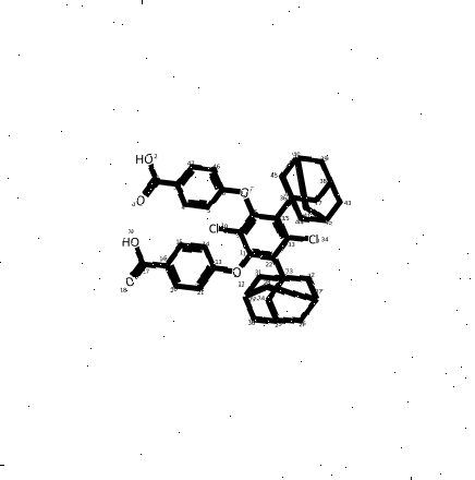 O=C(O)c1ccc(Oc2c(Cl)c(Oc3ccc(C(=O)O)cc3)c(C34CC5CC(CC(C5)C3)C4)c(Cl)c2C23CC4CC(CC(C4)C2)C3)cc1